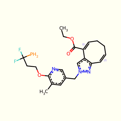 CCOC(=O)/C1=C/CC/C=C\c2nn(Cc3cnc(OCCC(F)(F)P)c(C)c3)cc21